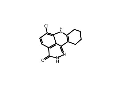 O=c1[nH]nc2c3c(c(Cl)ccc13)NC1=C2CCCC1